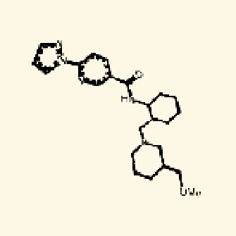 COCC1CCCN(C[C@@H]2CCCCC2NC(=O)c2ccc(-n3cccn3)nc2)C1